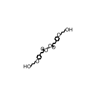 O=C(/C=C/c1ccc(OCCCCO)cc1)OCCOC(=O)/C=C/c1ccc(OCCCCO)cc1